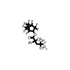 CCC(C)(C)CC(C(=O)OC1C(F)(F)C2(F)C(F)(F)C(F)(F)C1(F)C2(F)F)(C(C)C)C(F)(F)F